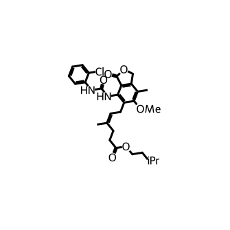 COc1c(C)c2c(c(NC(=O)Nc3ccccc3Cl)c1CC=C(C)CCC(=O)OCCC(C)C)C(=O)OC2